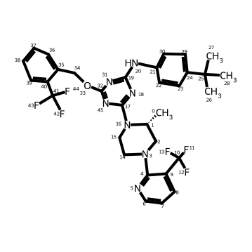 C[C@@H]1CN(c2ncccc2C(F)(F)F)CCN1c1nc(Nc2ccc(C(C)(C)C)cc2)nc(OCc2ccccc2C(F)(F)F)n1